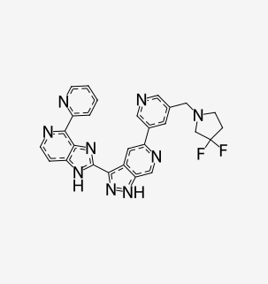 FC1(F)CCN(Cc2cncc(-c3cc4c(-c5nc6c(-c7ccccn7)nccc6[nH]5)n[nH]c4cn3)c2)C1